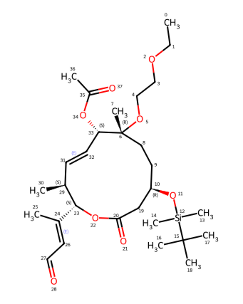 CCOCCO[C@]1(C)CC[C@@H](O[Si](C)(C)C(C)(C)C)CC(=O)O[C@H](/C(C)=C/C=O)[C@@H](C)/C=C/[C@@H]1OC(C)=O